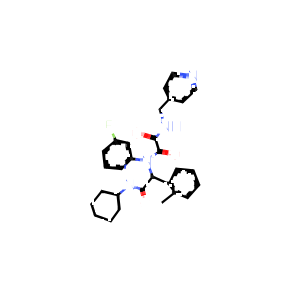 Cc1ccccc1C(C(=O)NC1CCCCC1)N(C(=O)C(=O)NCc1ccncc1)c1cccc(F)c1